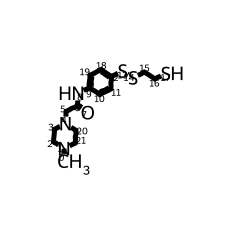 CN1CCN(CC(=O)Nc2ccc(SSCCS)cc2)CC1